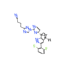 CC1(C)[C@H]2CC[C@]1(c1ccnc(-n3cnc(CCCC#N)n3)n1)c1nnc(-c3c(F)cccc3F)cc12